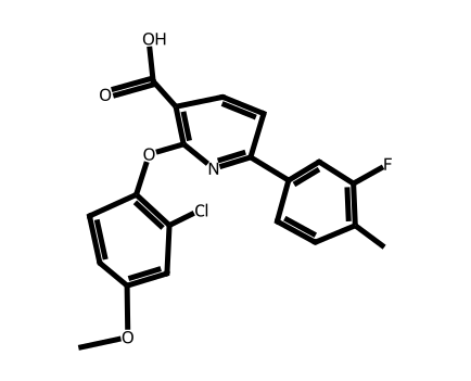 COc1ccc(Oc2nc(-c3ccc(C)c(F)c3)ccc2C(=O)O)c(Cl)c1